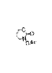 CC(=O)ON1CC=COC1=O